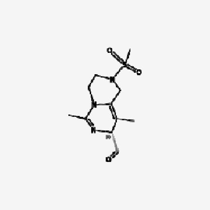 CC1=N[C@@H](C=O)C(C)=C2CN(S(C)(=O)=O)CCN12